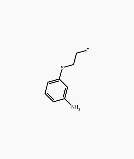 Nc1cccc(SCCF)c1